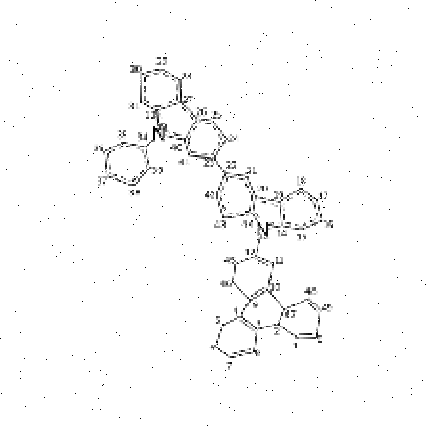 C1=CC2C3=C(CCC=C3)C3=C(C=C(n4c5ccccc5c5cc(-c6ccc7c8ccccc8n(-c8ccccc8)c7c6)ccc54)CC3)C2C=C1